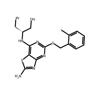 CC(C)C[C@H](CO)Nc1nc(SCc2ccccc2I)nc2nc(N)sc12